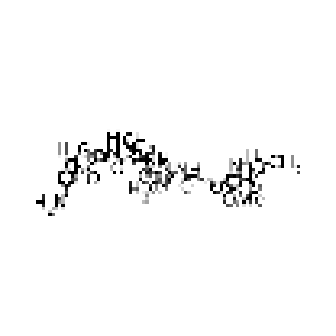 C=C1C[C@H]2C=Nc3cc(OCCCC(=O)Nc4cn(C)c(C(=O)Nc5cc(C(=O)Nc6cc(C(=O)n7ccc8ccc(CN)cc87)n(C)c6)n(C)c5)n4)c(OC)cc3C(=O)N2C1